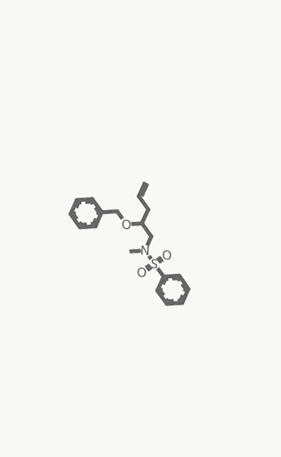 C=CCC(CN(C)S(=O)(=O)c1ccccc1)OCc1ccccc1